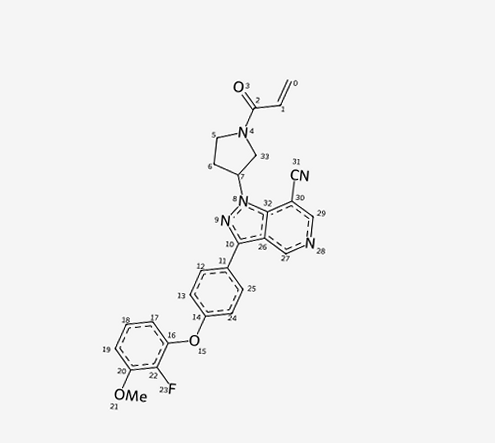 C=CC(=O)N1CCC(n2nc(-c3ccc(Oc4cccc(OC)c4F)cc3)c3cncc(C#N)c32)C1